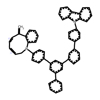 C=C1/C=C\C=C/CN(c2ccc(-c3cc(-c4ccccc4)cc(-c4cccc(-c5ccc(-n6c7ccccc7c7ccccc76)cc5)c4)c3)cc2)c2ccccc21